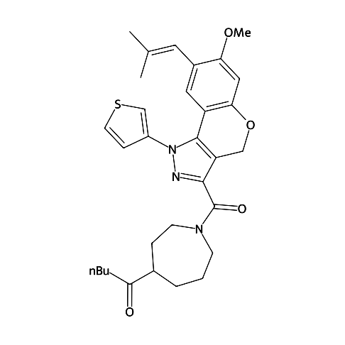 CCCCC(=O)C1CCCN(C(=O)c2nn(-c3ccsc3)c3c2COc2cc(OC)c(C=C(C)C)cc2-3)CC1